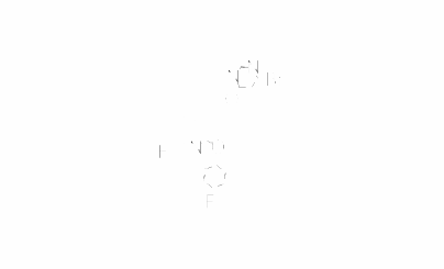 O=C([C@H]1CC(COc2cc(Br)ncn2)C2CCC21)N1CC(F)CC1c1cccc(F)c1